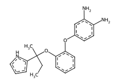 CCC(C)(Oc1ccccc1Oc1ccc(N)c(N)c1)c1ccc[nH]1